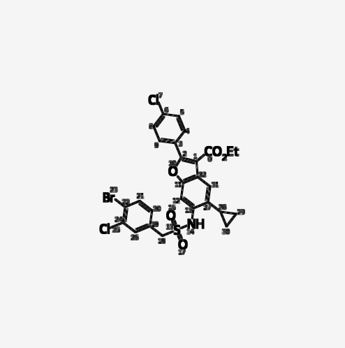 CCOC(=O)c1c(-c2ccc(Cl)cc2)oc2cc(NS(=O)(=O)Cc3ccc(Br)c(Cl)c3)c(C3CC3)cc12